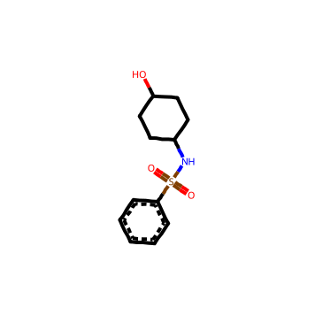 O=S(=O)(NC1CCC(O)CC1)c1ccccc1